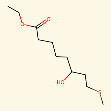 CCOC(=O)CCCCC(O)CCSC